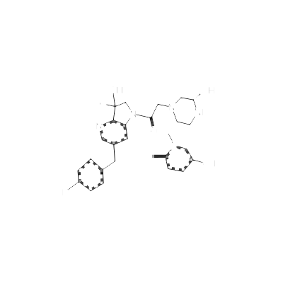 Cc1ccc(=O)n(C[C@H]2CN[C@H](C)CN2CC(=O)N2CC(C)(C)c3ncc(Cc4ccc(F)cc4)cc32)c1